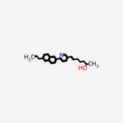 C=CCc1ccc2cc(-c3ccc(C=CCCCC(C)O)cn3)ccc2c1